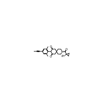 CC#Cc1cc(C)c(C2C(=O)CC3(CCN(C(=O)C4(C(C)C)CC4)CC3)CC2=O)c(C)c1